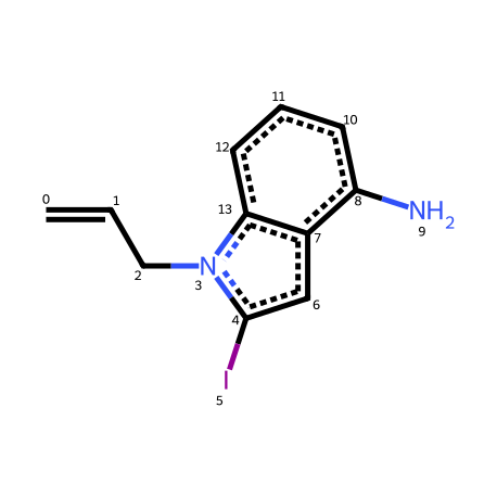 C=CCn1c(I)cc2c(N)cccc21